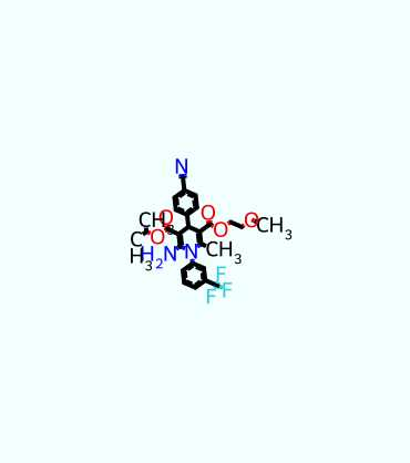 COCCOC(=O)C1=C(C)N(c2cccc(C(F)(F)F)c2)C(N)=C(C(=O)OC(C)C)C1c1ccc(C#N)cc1